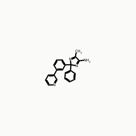 CC1=NC(c2ccccc2)(c2cccc(-c3cccnc3)c2)N=C1N